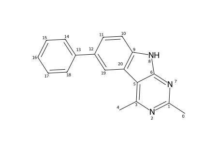 Cc1nc(C)c2c(n1)[nH]c1ccc(-c3ccccc3)cc12